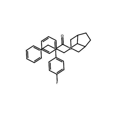 O=C(OC1C2CCC1CN(Cc1ccccc1)C2)N(Cc1ccccc1)c1ccc(F)cc1